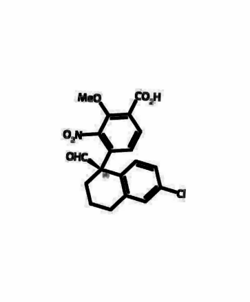 COc1c(C(=O)O)ccc([C@@]2(C=O)CCCc3cc(Cl)ccc32)c1[N+](=O)[O-]